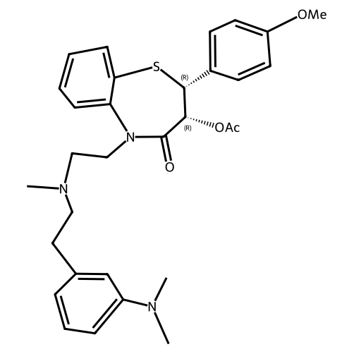 COc1ccc([C@H]2Sc3ccccc3N(CCN(C)CCc3cccc(N(C)C)c3)C(=O)[C@H]2OC(C)=O)cc1